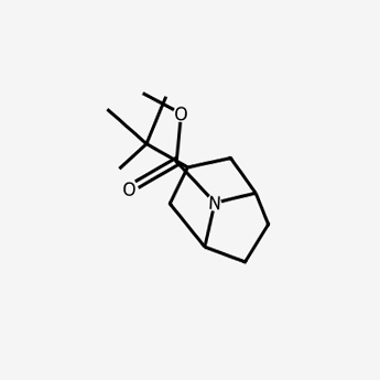 COC(=O)N1C2CCC1CC(C(C)(C)C)C2